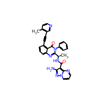 Cc1ccncc1C#Cc1cccc2nc([C@@H](C)NC(=O)c3c(N)nn4cccnc34)n(-c3ccccc3)c(=O)c12